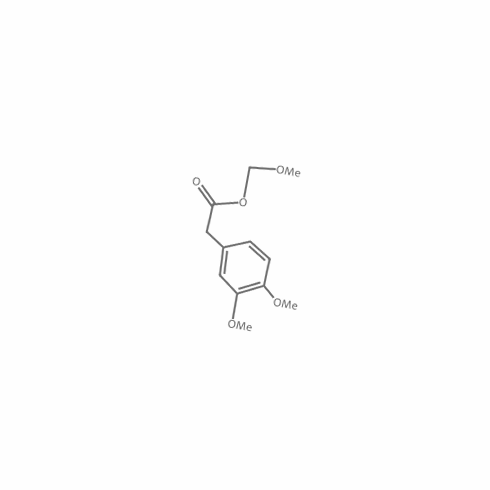 COCOC(=O)Cc1ccc(OC)c(OC)c1